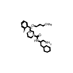 COCCCO[C@@H](c1ccccc1F)[C@@H]1CCCN(C(=O)NC(CN)CC2CCCCC2)C1